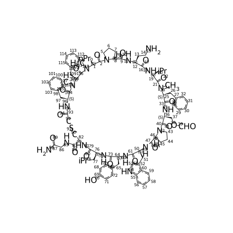 CCC[C@H]1C(=O)N2CCC[C@@H]2C(=O)N[C@@H](CCN)C(=O)N[C@@H](C(C)C)C(=O)N(C)[C@@H](Cc2ccccc2)C(=O)N[C@@H](COC=O)C(=O)N2CCC[C@@H]2C(=O)N[C@@H](Cc2c[nH]c3ccccc23)C(=O)N[C@@H](Cc2ccc(O)cc2)C(=O)N[C@@H](CC(C)C)C(=O)N[C@H](C(=O)NCC(N)=O)CSCC(=O)N[C@@H](Cc2ccccc2)C(=O)N(C)[C@@H](Cc2ccccc2)C(=O)N1C